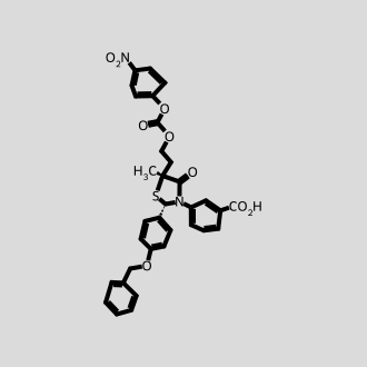 C[C@]1(CCOC(=O)Oc2ccc([N+](=O)[O-])cc2)S[C@@H](c2ccc(OCc3ccccc3)cc2)N(c2cccc(C(=O)O)c2)C1=O